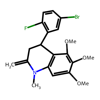 C=C1CC(c2cc(Br)ccc2F)c2c(cc(OC)c(OC)c2OC)N1C